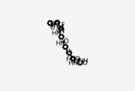 O=C1CCC(Nc2ccc(C3CCN([C@H]4CC[C@H](NC(=O)[C@H]5CC[C@H](Nc6ncc(F)c(-c7cccc(N8CCCCC8=O)n7)n6)CC5)CC4)CC3)c(F)c2)C(=O)N1